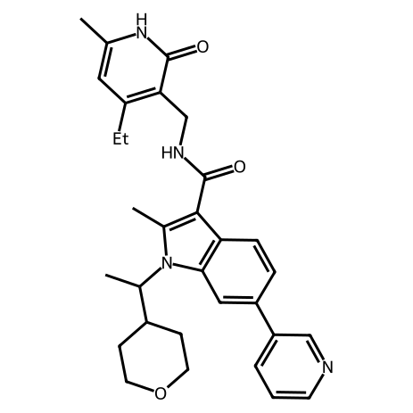 CCc1cc(C)[nH]c(=O)c1CNC(=O)c1c(C)n(C(C)C2CCOCC2)c2cc(-c3cccnc3)ccc12